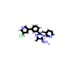 CC1=N[C@](Cc2cccnc2)(c2cccc(-c3cncc(Cl)c3)c2)N=C1N